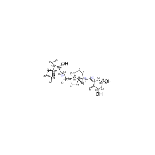 C=C1/C(=C\C=C2/CCC[C@]3(C)[C@@H]([C@H](C)/C=C/[C@@H](O)C4(c5nc(C)cs5)CC4)CC[C@@H]23)C[C@@H](O)C[C@@H]1O